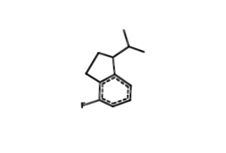 CC(C)C1CCc2c(F)cccc21